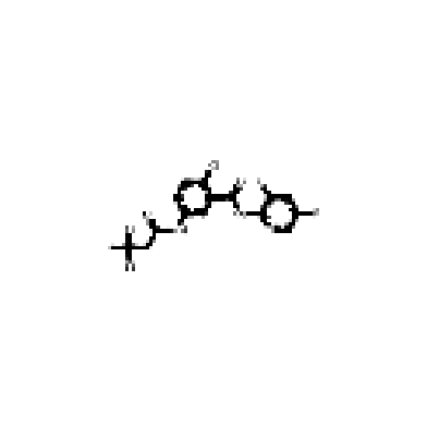 CC(Cl)(Cl)CC(=O)Nc1ccc(Cl)c(C(=O)Nc2ncc(F)cc2F)c1